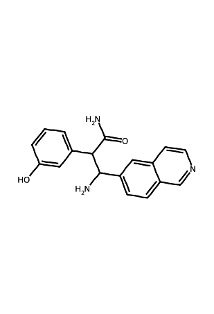 NC(=O)C(c1cccc(O)c1)C(N)c1ccc2cnccc2c1